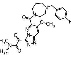 COc1cc2nnc(C(=O)C(=O)N(C)C)n2nc1C(=O)N1CCCN(Cc2ccc(F)cc2)CC1